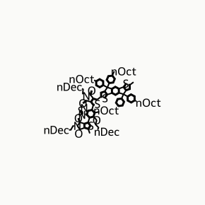 CCCCCCCCCCCCOc1c(C)c(-c2sc(-c3cc4c(s3)-c3cc5c(cc3C4(c3ccc(CCCCCCCC)cc3)c3ccc(CCCCCCCC)cc3)-c3sc(C)cc3C5(c3ccc(CCCCCCCC)cc3)c3ccc(CCCCCCCC)cc3)c3c2C(=O)N(CCCCCCCCCCCC)C3=O)c2nsnc2c1-c1sc(C)c2c1C(=O)N(CCCCCCCCCCCC)C2=O